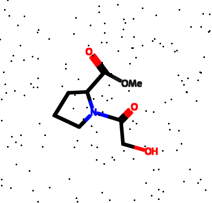 COC(=O)C1CCCN1C(=O)CO